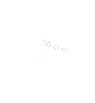 O=C(C1CC1)N1CC[C@H](Cn2c(-c3ccc(-c4ccc(F)cc4)cc3)nc3ncccc32)C1